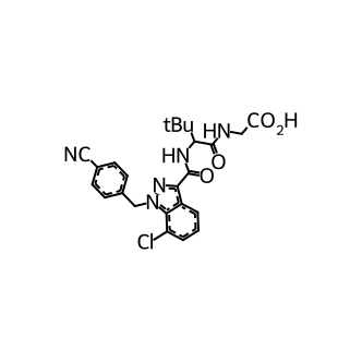 CC(C)(C)C(NC(=O)c1nn(Cc2ccc(C#N)cc2)c2c(Cl)cccc12)C(=O)NCC(=O)O